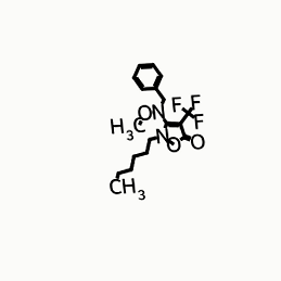 CCCCCCn1oc(=O)c(C(F)(F)F)c1N(Cc1ccccc1)OC